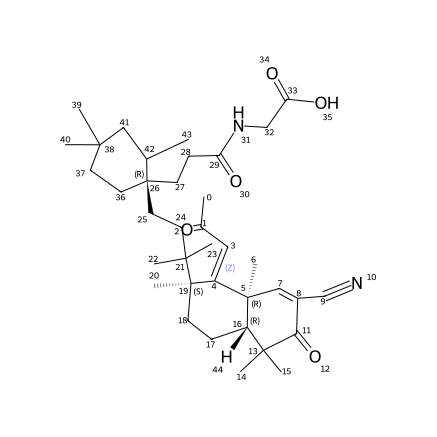 CC(=O)/C=C1/[C@@]2(C)C=C(C#N)C(=O)C(C)(C)[C@@H]2CC[C@@]1(C)C(C)(C)CC[C@@]1(CCC(=O)NCC(=O)O)CCC(C)(C)CC1C